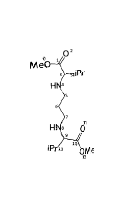 COC(=O)C(NCCCNC(C(=O)OC)C(C)C)C(C)C